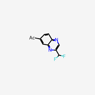 CC(=O)c1ccc2ncc(C(F)F)nc2c1